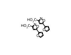 O=C(O)c1cc(-c2ccco2)on1.O=C(O)c1cc(-c2ccco2)on1